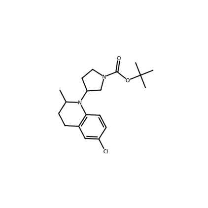 CC1CCc2cc(Cl)ccc2N1C1CCN(C(=O)OC(C)(C)C)C1